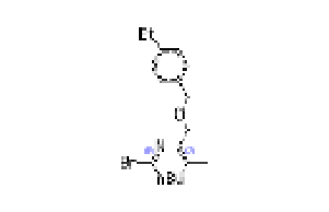 CCCC/C(C)=C(COCc1ccc(CC)cc1)\N=C(/C)Br